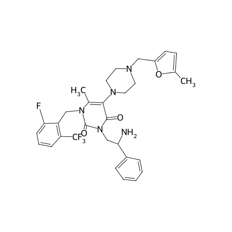 Cc1ccc(CN2CCN(c3c(C)n(Cc4c(F)cccc4C(F)(F)F)c(=O)n(CC(N)c4ccccc4)c3=O)CC2)o1